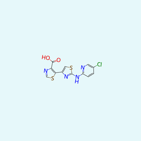 O=C(O)c1ncsc1-c1csc(Nc2ccc(Cl)cn2)n1